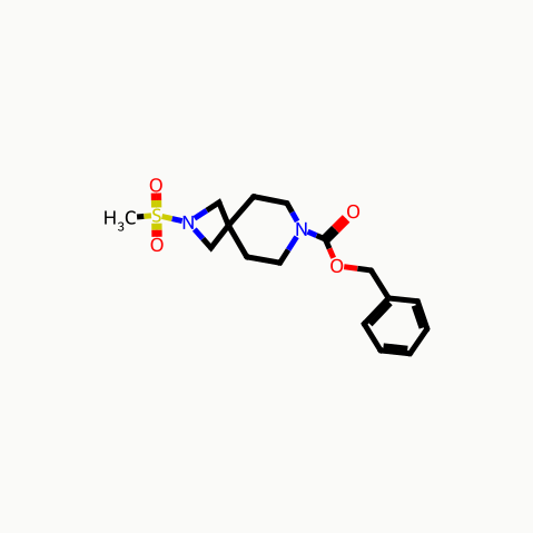 CS(=O)(=O)N1CC2(CCN(C(=O)OCc3ccccc3)CC2)C1